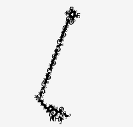 CCCN(CCC)C(=O)C1=Cc2ccc(CCCCCN(C)CCOCCOCCOCCOCCOCCOCCOCCOCCOCCOCCC(=O)Oc3c(F)c(F)cc(F)c3F)cc2N=C(N)C1